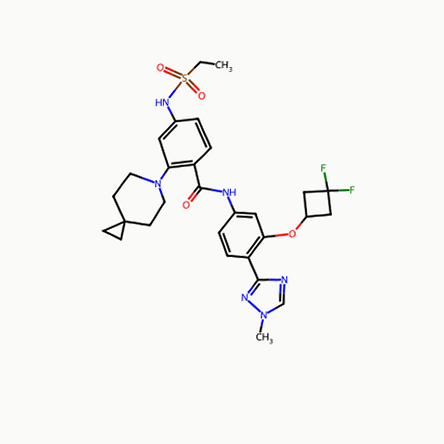 CCS(=O)(=O)Nc1ccc(C(=O)Nc2ccc(-c3ncn(C)n3)c(OC3CC(F)(F)C3)c2)c(N2CCC3(CC2)CC3)c1